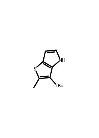 Cc1sc2cc[nH]c2c1C(C)(C)C